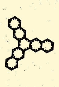 [c]1cccc2cc3c(cc12)c1cc2ccccc2cc1c1cc2ccccc2cc31